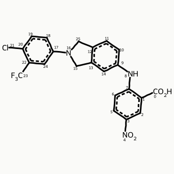 O=C(O)c1cc([N+](=O)[O-])ccc1Nc1ccc2c(c1)CN(c1ccc(Cl)c(C(F)(F)F)c1)C2